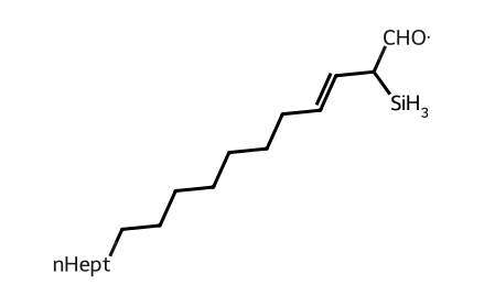 CCCCCCCCCCCCCCC=CC([SiH3])[C]=O